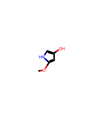 COc1cc(O)c[nH]1